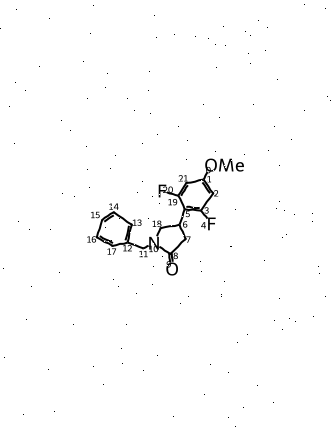 COc1cc(F)c(C2CC(=O)N(Cc3ccccc3)C2)c(F)c1